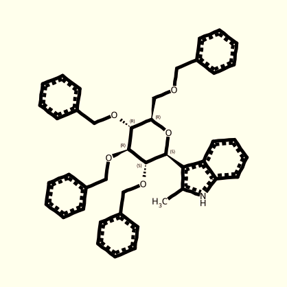 Cc1[nH]c2ccccc2c1[C@@H]1O[C@H](COCc2ccccc2)[C@@H](OCc2ccccc2)[C@H](OCc2ccccc2)[C@H]1OCc1ccccc1